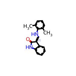 Cc1cccc(C)c1N/C=C1\C(=O)Nc2ccccc21